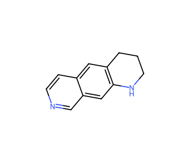 c1cc2cc3c(cc2cn1)NCCC3